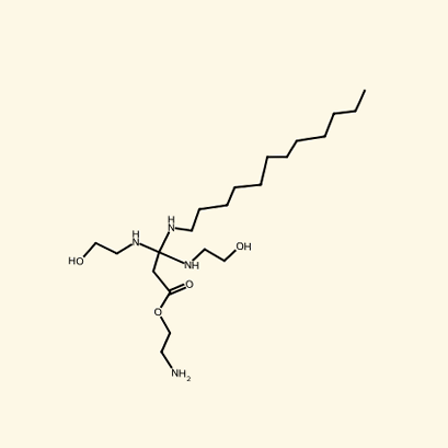 CCCCCCCCCCCCNC(CC(=O)OCCN)(NCCO)NCCO